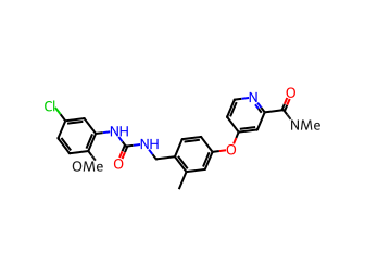 CNC(=O)c1cc(Oc2ccc(CNC(=O)Nc3cc(Cl)ccc3OC)c(C)c2)ccn1